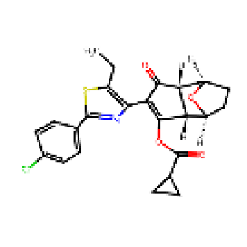 CCc1sc(-c2ccc(Cl)cc2)nc1C1=C(OC(=O)C2CC2)[C@@H]2[C@H](C1=O)[C@H]1CC[C@@H]2O1